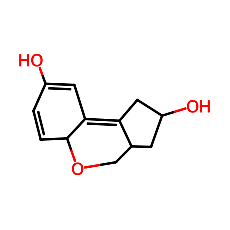 OC1=CC2=C3CC(O)CC3COC2C=C1